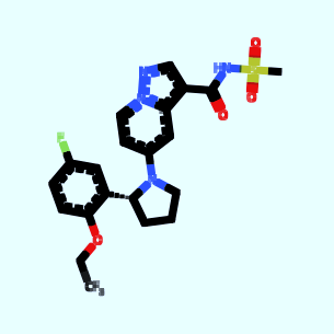 CS(=O)(=O)NC(=O)c1cnn2ccc(N3CCC[C@@H]3c3cc(F)ccc3OCC(F)(F)F)cc12